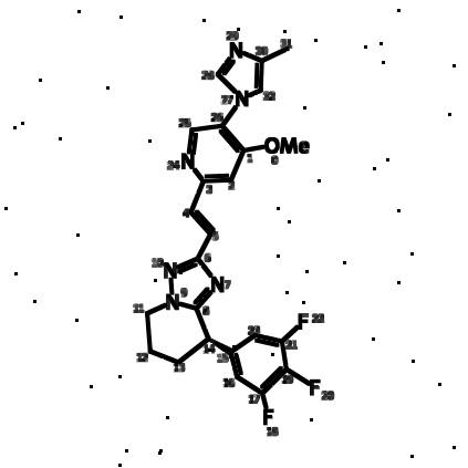 COc1cc(/C=C/c2nc3n(n2)CCC[C@@H]3c2cc(F)c(F)c(F)c2)ncc1-n1cnc(C)c1